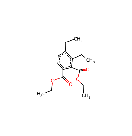 CCOC(=O)c1ccc(CC)c(CC)c1C(=O)OCC